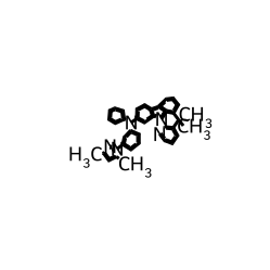 Cc1cc(C)n(-c2cccc(N(c3ccccc3)c3ccc4c5cccc6c5n(c4c3)-c3ncccc3C6(C)C)c2)n1